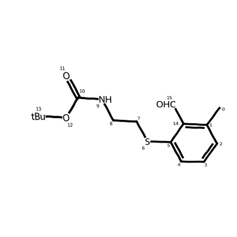 Cc1cccc(SCCNC(=O)OC(C)(C)C)c1C=O